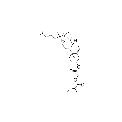 CCC(C)C(=O)OCC(=O)OC1CC[C@@]2(C)C(=CC[C@H]3[C@]4(C)CC[C@](C)(C(C)(C)CCCC(C)C)[C@H]4CC[C@@]32C)C1